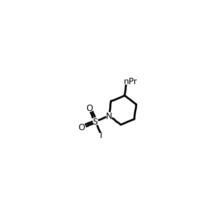 CCCC1CCCN(S(=O)(=O)I)C1